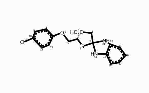 O=C(O)CC1(SCCOc2ccc(Cl)cc2)Nc2ccccc2N1